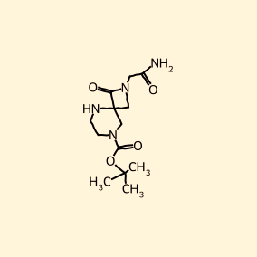 CC(C)(C)OC(=O)N1CCNC2(C1)CN(CC(N)=O)C2=O